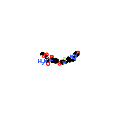 CC(C)(C)OC(=O)CC[C@@H](C(N)=O)N1Cc2cc(O[C@H]3CCN(Cc4cc5cnc(N6CCOCC6)nc5cc4F)C3)ccc2C1=O